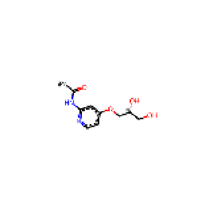 CC(C)C(=O)Nc1cc(OC[C@H](O)CO)ccn1